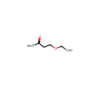 COC(=O)CCOC[C]=O